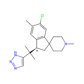 Cc1cc2c(cc1Cl)C1(CCN(C)CC1)C[C@H]2C(C)(C)c1cnn[nH]1